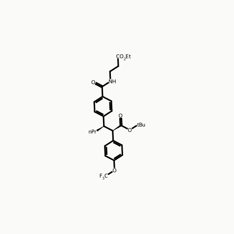 CCC[C@@H](c1ccc(C(=O)NCCC(=O)OCC)cc1)[C@@H](C(=O)OC(C)(C)C)c1ccc(OC(F)(F)F)cc1